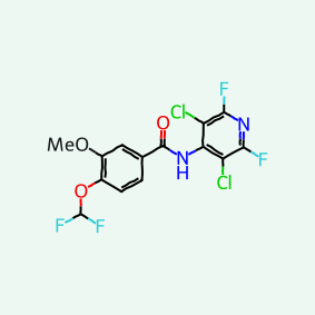 COc1cc(C(=O)Nc2c(Cl)c(F)nc(F)c2Cl)ccc1OC(F)F